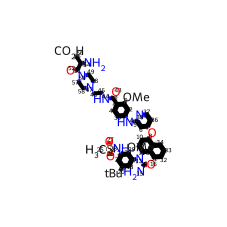 COc1cc(Nc2cc(Oc3ccc(N(C(N)=O)c4cc(C(C)(C)C)cc(NS(C)(=O)=O)c4OC)c4ccccc34)ccn2)ccc1C(=O)NCCN1CCN(C(=O)C(N)CC(=O)O)CC1